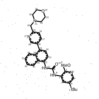 COc1ncc(C(C)(C)C)cc1NC(=O)Nc1ccc(-c2ccc(CN3CCOCC3)nc2)c2ccccc12